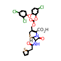 O=C(Cc1cccs1)NC1C(=O)N2C(C(=O)O)=C(COC(=O)Oc3cc(Cl)ccc3Oc3ccc(Cl)cc3Cl)CS[C@H]12